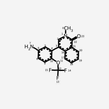 Cn1cc(-c2cc(N)ccc2OC(F)(F)F)c2ccccc2c1=O